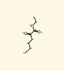 CCOC(=O)C(=O)CCCF